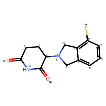 O=C1CCC(N2Cc3cccc(F)c3C2)C(=O)N1